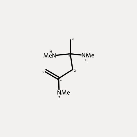 [CH]=C(CC(C)(NC)NC)NC